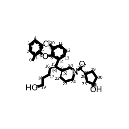 Cc1ccccc1Oc1c(Cl)cccc1[C@H](CCCCO)[C@@H]1CCCN(C(=O)[C@H]2CC[C@@H](O)C2)C1